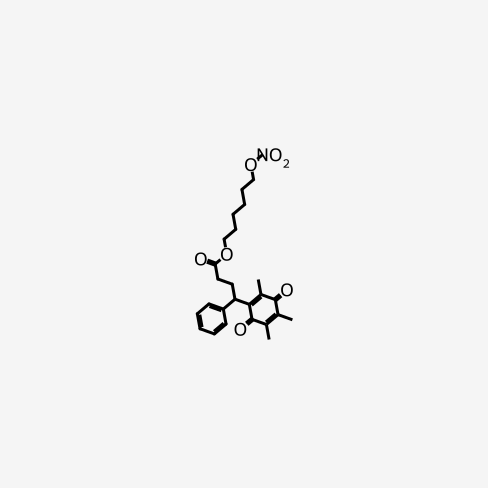 CC1=C(C)C(=O)C(C(CCC(=O)OCCCCCCO[N+](=O)[O-])c2ccccc2)=C(C)C1=O